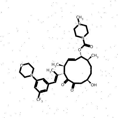 C/C(=C\c1cc(N2CCOCC2)cc(C(F)(F)F)c1)[C@H]1C(=O)C(=O)C[C@H](O)CC[C@H](C)[C@@H](OC(=O)N2CCN(C)CC2)/C=C/[C@@H]1C